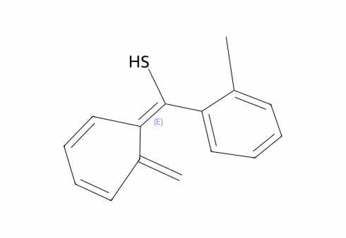 C=c1cccc/c1=C(\S)c1ccccc1C